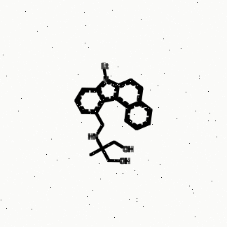 CCn1c2cccc(CNC(C)(CO)CO)c2c2c3ccccc3ccc21